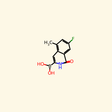 Cc1cc(F)cc2c(=O)[nH]c(B(O)O)cc12